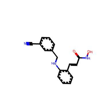 N#Cc1cccc(CNc2ccccc2C=CC(=O)NO)c1